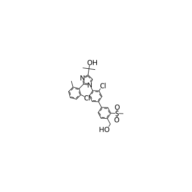 Cc1cccc(Cl)c1-c1nc(C(C)(C)O)cn1-c1ccc(-c2ccc(CO)c(S(C)(=O)=O)c2)cc1Cl